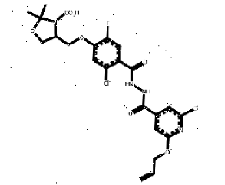 C=CCOc1cc(C(=O)NNC(=O)c2cc(F)c(OCC3COC(C)(C)N3C(=O)O)cc2Cl)cc(Cl)n1